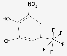 O=[N+]([O-])c1cc(S(F)(F)(F)(F)F)cc(Cl)c1O